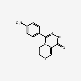 O=C1NN=C(c2ccc([N+](=O)[O-])cc2)N2CCSC=C12